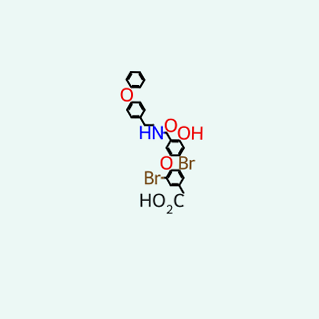 O=C(O)Cc1cc(Br)c(Oc2ccc(O)c(C(=O)NCCc3ccc(Oc4ccccc4)cc3)c2)c(Br)c1